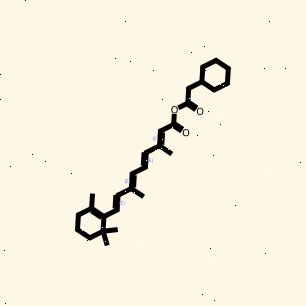 CC1=C(/C=C/C(C)=C/C=C/C(C)=C/C(=O)OC(=O)CC2CCCCC2)C(C)(C)CCC1